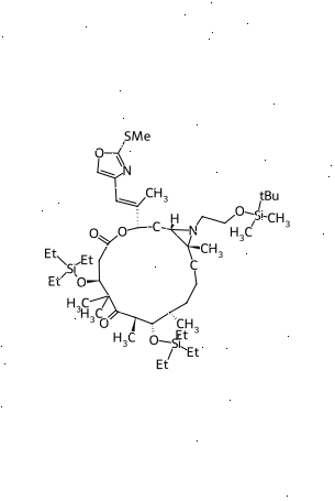 CC[Si](CC)(CC)O[C@H]1[C@@H](C)CCC[C@]2(C)[C@H](C[C@@H](/C(C)=C/c3coc(SC)n3)OC(=O)C[C@H](O[Si](CC)(CC)CC)C(C)(C)C(=O)[C@@H]1C)N2CCO[Si](C)(C)C(C)(C)C